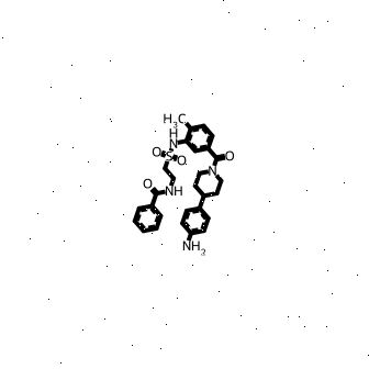 Cc1ccc(C(=O)N2CCC(c3ccc(N)cc3)CC2)cc1NS(=O)(=O)CCNC(=O)c1ccccc1